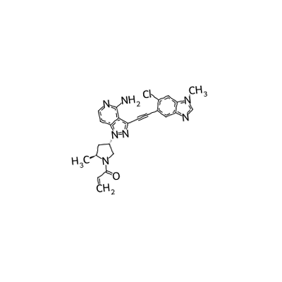 C=CC(=O)N1C[C@@H](n2nc(C#Cc3cc4ncn(C)c4cc3Cl)c3c(N)nccc32)C[C@@H]1C